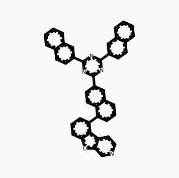 c1ccc2cc(-c3nc(-c4ccc5ccccc5c4)nc(-c4ccc5c(-c6cccc7oc8cnccc8c67)cccc5c4)n3)ccc2c1